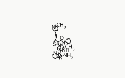 C[C@H](NC(=O)c1c(N)nc2cccnn12)c1nc2scc(C#Cc3cnn(C)c3)c2c(=O)n1-c1ccccc1